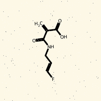 C=C(C(=O)O)C(=O)NCC=CF